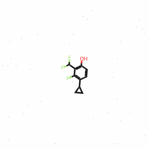 Oc1ccc(C2CC2)c(F)c1C(F)F